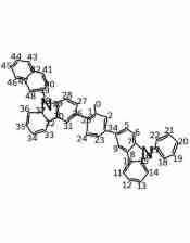 Cc1cc(-c2ccc3c(c2)c2ccccc2n3-c2ccccc2)ccc1-c1ccc2c(c1)C1C=CC=CC1N2c1ccc2ccccc2c1